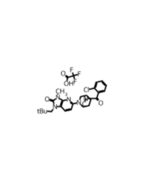 Cn1c(=O)n(CC(C)(C)C)c2ccc(N3CC4CCC3CN4C(=O)c3ccccc3Cl)nc21.O=C(O)C(F)(F)F